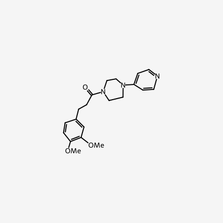 COc1ccc(CCC(=O)N2CCN(c3ccncc3)CC2)cc1OC